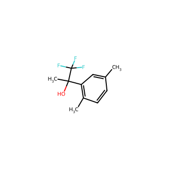 Cc1ccc(C)c(C(C)(O)C(F)(F)F)c1